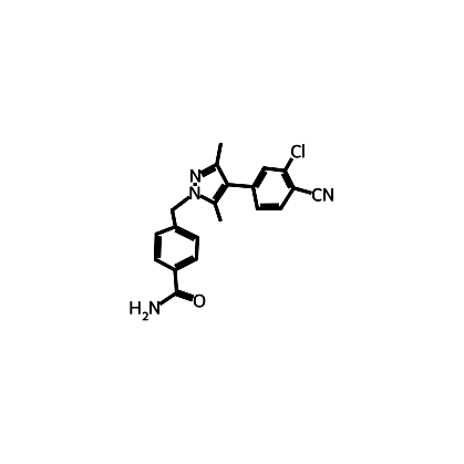 Cc1nn(Cc2ccc(C(N)=O)cc2)c(C)c1-c1ccc(C#N)c(Cl)c1